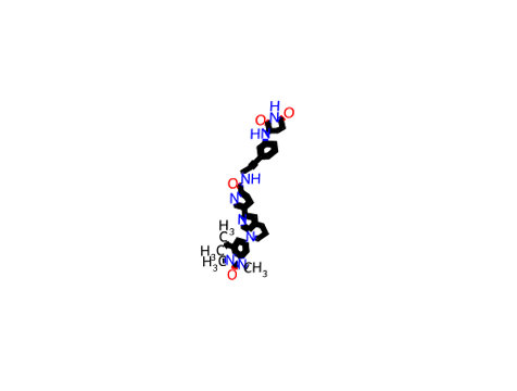 CC(C)c1cc(N2CCCc3cc(-c4ccc(C(=O)NCC#Cc5cccc(NC6CCC(=O)NC6=O)c5)nc4)ncc32)cc2c1n(C)c(=O)n2C